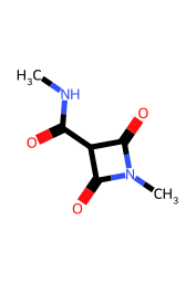 CNC(=O)C1C(=O)N(C)C1=O